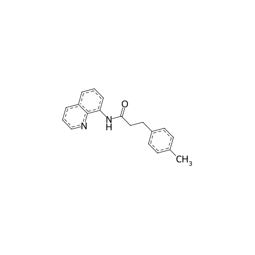 Cc1ccc(CCC(=O)Nc2cccc3cccnc23)cc1